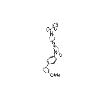 COc1cccc(-c2ccc(N3C[C@H](N4CCN(C(=O)c5ccco5)CC4)CC3=O)cc2)c1